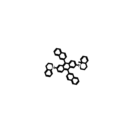 CC12C=CC=CC1CCCN2c1ccc2c(-c3ccc4ccccc4c3)c3cc(N4CCCc5ccccc54)ccc3c(-c3ccc4ccccc4c3)c2c1